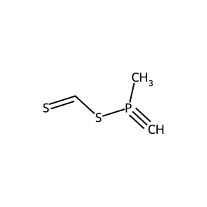 C#P(C)SC=S